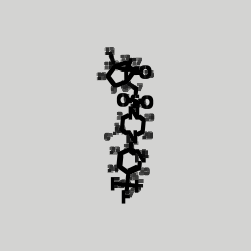 C[C@@H]1CN(S(=O)(=O)C[C@]23CC[C@](C)(CC2=O)C3(C)C)CCN1c1ccc(C(F)(F)F)cn1